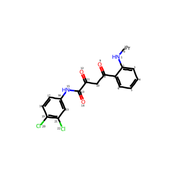 CC(C)Nc1ccccc1C(=O)CC(=O)C(=O)Nc1ccc(Cl)c(Cl)c1